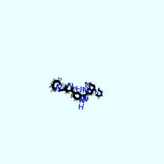 c1cc(N2CCCCC2)c2cc(-c3n[nH]c4ccc(-c5cncc(CN6CCCCC6)c5)cc34)[nH]c2n1